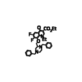 CCOC(=O)c1cn(CC)c2c(OCC3CN(Cc4ccccc4)CCN3Cc3ccccc3)c(F)c(F)cc2c1=O